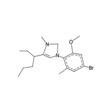 CCCC(CC)C1=CN(c2c(C)cc(Br)cc2OC)CN1C